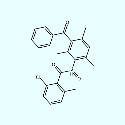 Cc1cccc(Cl)c1C(=O)[PH](=O)c1c(C)cc(C)c(C(=O)c2ccccc2)c1C